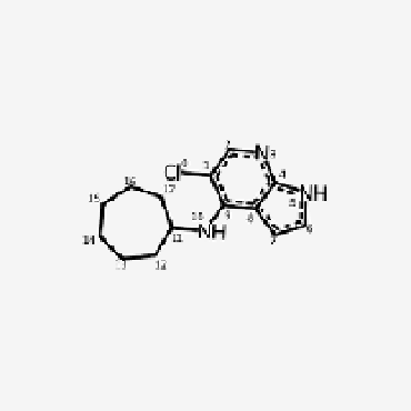 Clc1cnc2[nH]ccc2c1NC1CCCCCC1